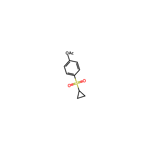 CC(=O)Oc1ccc(S(=O)(=O)C2CC2)cc1